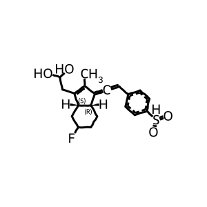 CC1=C(CC(O)O)[C@H]2CC(F)CC[C@H]2C1=C=Cc1ccc([SH](=O)=O)cc1